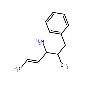 CC=CC(N)C(C)Cc1ccccc1